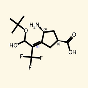 CC(C)(C)OC(O)/C(=C1/C[C@H](C(=O)O)C[C@@H]1N)C(F)(F)F